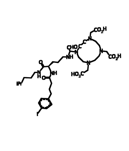 CC(C)CCCNC(=O)[C@@H](CCCNC(C=O)N1CCN(CC(=O)O)CCN(CC(=O)O)CCN(CC(=O)O)CC1)NC(=O)CCCc1ccc(I)cc1